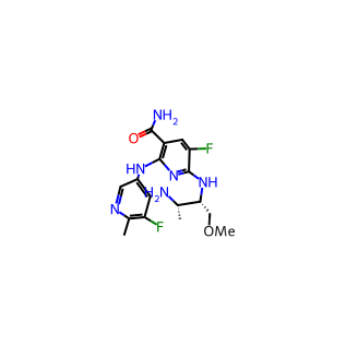 COC[C@@H](Nc1nc(Nc2cnc(C)c(F)c2)c(C(N)=O)cc1F)[C@H](C)N